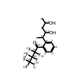 CC(O)CC(O)C(C)c1ccccc1C(=O)C(F)(F)C(F)(F)C(F)(F)F